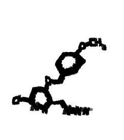 COc1ccc(COc2cc(Cl)nnc2CN=[N+]=[N-])cc1